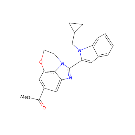 COC(=O)c1cc2c3c(c1)nc(-c1cc4ccccc4n1CC1CC1)n3CCO2